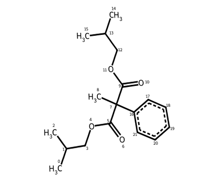 CC(C)COC(=O)C(C)(C(=O)OCC(C)C)c1ccccc1